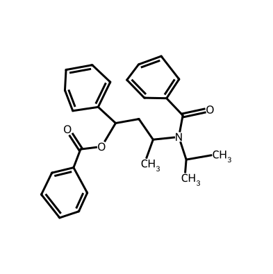 CC(C)N(C(=O)c1ccccc1)C(C)CC(OC(=O)c1ccccc1)c1ccccc1